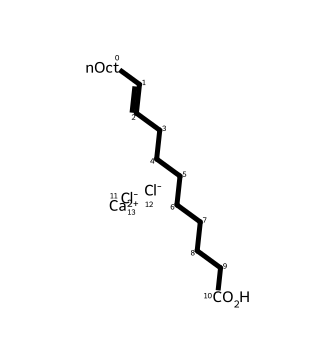 CCCCCCCCC=CCCCCCCCC(=O)O.[Ca+2].[Cl-].[Cl-]